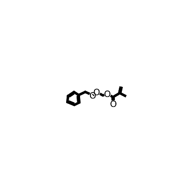 C=C(C)C(=O)OCOOCc1ccccc1